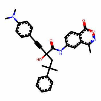 Cc1noc(=O)c2ccc(NC(=O)C(O)(C#Cc3ccc(N(C)C)cc3)CC(C)(C)c3ccccc3)cc12